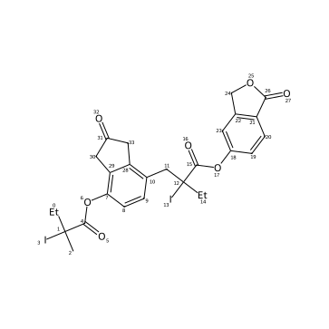 CCC(C)(I)C(=O)Oc1ccc(CC(I)(CC)C(=O)Oc2ccc3c(c2)COC3=O)c2c1CC(=O)C2